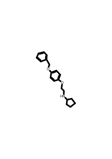 c1ccc(COc2ccc(OCCNC3CCCC3)cc2)cc1